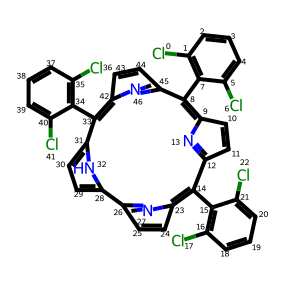 Clc1cccc(Cl)c1C1=C2C=CC(=N2)C(c2c(Cl)cccc2Cl)=C2C=CC(=N2)c2ccc([nH]2)C(c2c(Cl)cccc2Cl)=C2C=CC1=N2